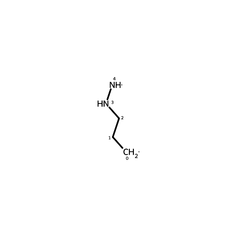 [CH2]CCN[NH]